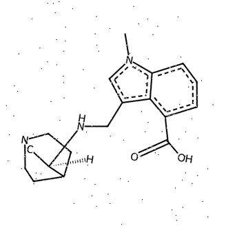 Cn1cc(CN[C@@H]2CN3CCC2CC3)c2c(C(=O)O)cccc21